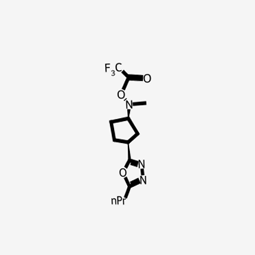 CCCc1nnc([C@H]2CC[C@@H](N(C)OC(=O)C(F)(F)F)C2)o1